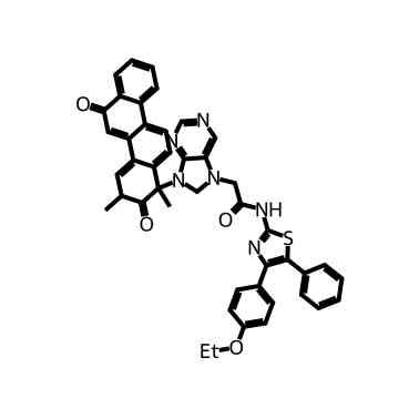 CCOc1ccc(-c2nc(NC(=O)CN3CN(C4(C)C(=O)C(C)C=c5c4ccc4c5=CC(=O)c5ccccc5-4)c4ncncc43)sc2-c2ccccc2)cc1